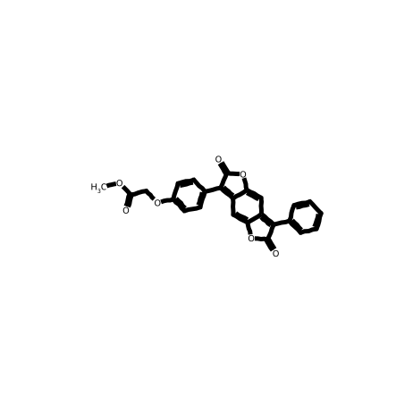 COC(=O)COc1ccc(C2=c3cc4c(cc3OC2=O)=C(c2ccccc2)C(=O)O4)cc1